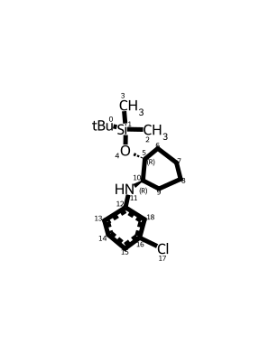 CC(C)(C)[Si](C)(C)O[C@@H]1CCCC[C@H]1Nc1cccc(Cl)c1